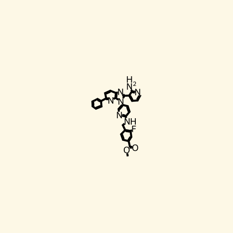 COC(=O)c1ccc(CNc2ccc(-n3c(-c4cccnc4N)nc4ccc(-c5ccccc5)nc43)cn2)c(F)c1